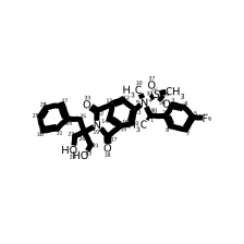 C[C@H](c1ccc(F)cc1)[N+](C)(c1cc2cc(c1)C(=O)N(C(CO)(CO)Cc1ccccc1)C2=O)S(C)(=O)=O